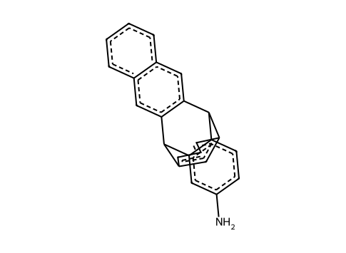 Nc1ccc2c(c1)C1c3cccc(c3)C2c2cc3ccccc3cc21